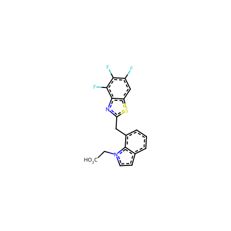 O=C(O)Cn1ccc2cccc(Cc3nc4c(F)c(F)c(F)cc4s3)c21